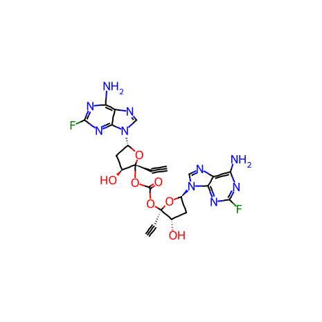 C#C[C@]1(OC(=O)O[C@@]2(C#C)O[C@@H](n3cnc4c(N)nc(F)nc43)C[C@@H]2O)O[C@@H](n2cnc3c(N)nc(F)nc32)C[C@@H]1O